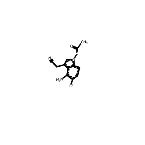 CC(=O)On1cc(CC#N)c2c(N)c(Cl)ccc21